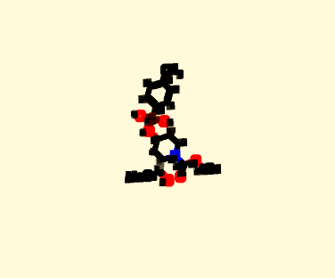 COC(=O)[C@@H]1C[C@@H](OS(=O)(=O)c2ccc(C)cc2)CCN1C(=O)OC(C)(C)C